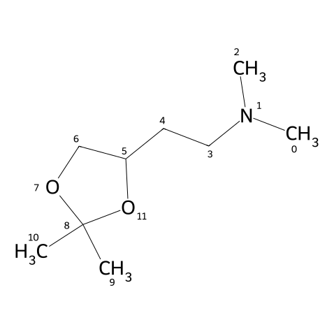 CN(C)CCC1COC(C)(C)O1